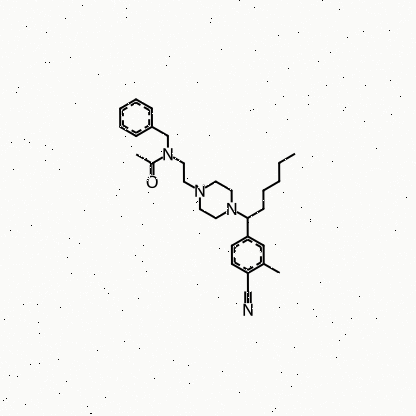 CCCCCC(c1ccc(C#N)c(C)c1)N1CCN(CCN(Cc2ccccc2)C(C)=O)CC1